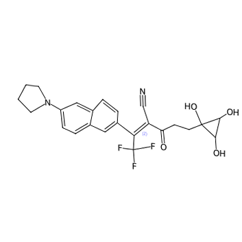 N#C/C(C(=O)CCC1(O)C(O)C1O)=C(\c1ccc2cc(N3CCCC3)ccc2c1)C(F)(F)F